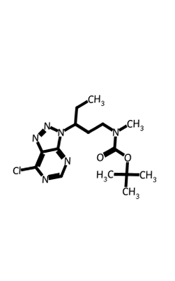 CCC(CCN(C)C(=O)OC(C)(C)C)n1nnc2c(Cl)ncnc21